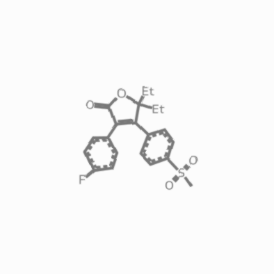 CCC1(CC)OC(=O)C(c2ccc(F)cc2)=C1c1ccc(S(C)(=O)=O)cc1